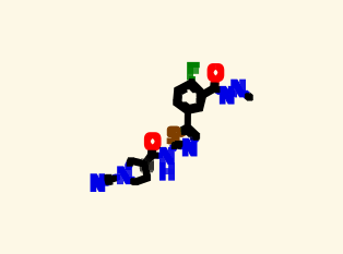 CN=NC(=O)c1cc(-c2cnc(NC(=O)[C@H]3CCN(C#N)C3)s2)ccc1F